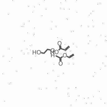 C=CC(=O)O.C=COC(C)=O.OCCO